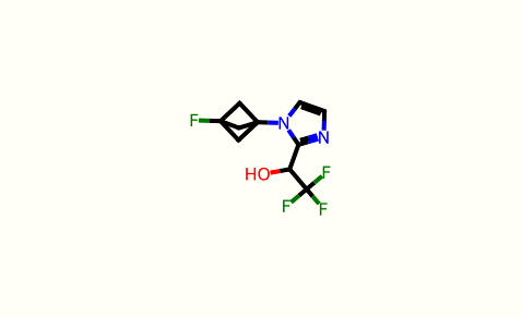 OC(c1nccn1C12CC(F)(C1)C2)C(F)(F)F